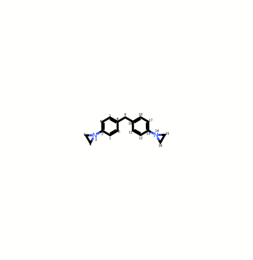 c1cc(N2CC2)ccc1Cc1ccc(N2CC2)cc1